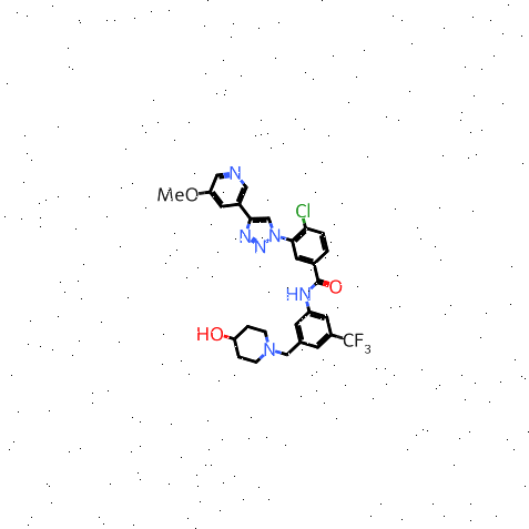 COc1cncc(-c2cn(-c3cc(C(=O)Nc4cc(CN5CCC(O)CC5)cc(C(F)(F)F)c4)ccc3Cl)nn2)c1